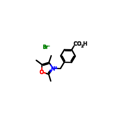 Cc1oc(C)[n+](Cc2ccc(C(=O)O)cc2)c1C.[Br-]